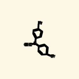 CC(C)c1ccc(N([C]=O)c2ccc(C(C)C)cc2)cc1